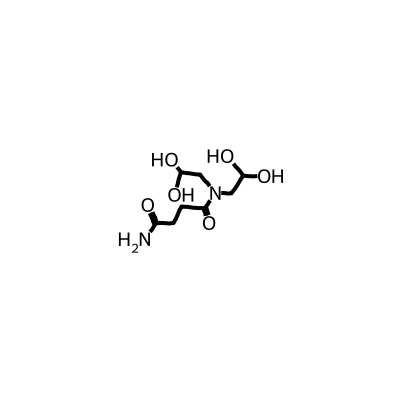 NC(=O)CCC(=O)N(CC(O)O)CC(O)O